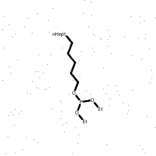 CCCCCCCCCCCCOP(OCC)OCC